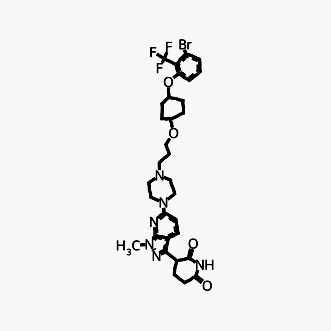 Cn1nc(C2CCC(=O)NC2=O)c2ccc(N3CCN(CCCOC4CCC(Oc5cccc(Br)c5C(F)(F)F)CC4)CC3)nc21